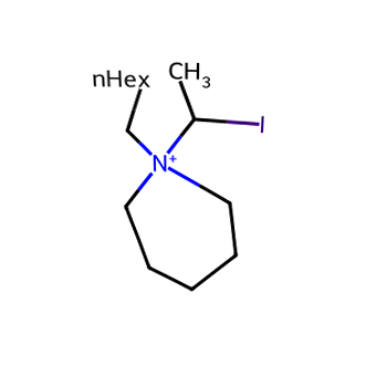 CCCCCCC[N+]1(C(C)I)CCCCC1